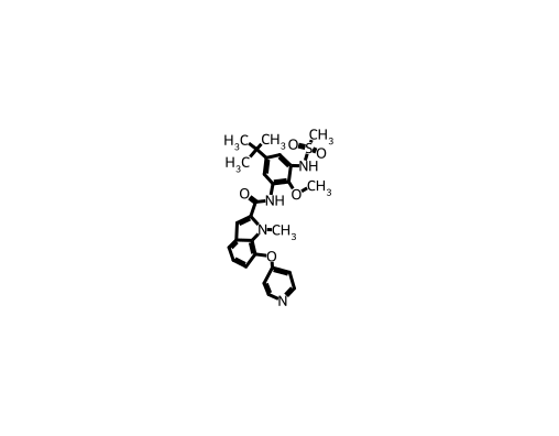 COc1c(NC(=O)c2cc3cccc(Oc4ccncc4)c3n2C)cc(C(C)(C)C)cc1NS(C)(=O)=O